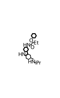 CCC(Oc1ccccc1)C(=O)Nc1ccc2[nH]c3c(c2c1)CC(CNC(C)C)CC3